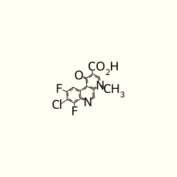 Cn1cc(C(=O)O)c(=O)c2c3cc(F)c(Cl)c(F)c3ncc21